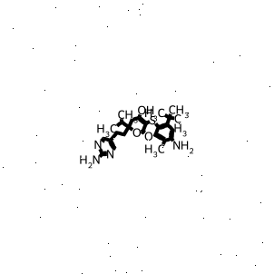 Cc1cc(SC2=C(O)CC(CCc3cnc(N)nc3)(C(C)C)OC2=O)c(C(C)(C)C)cc1N